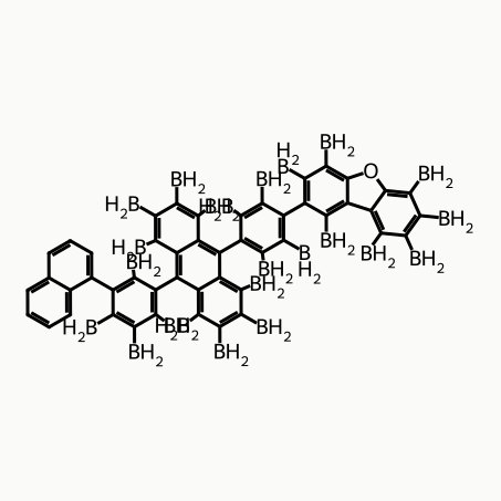 Bc1c(B)c(-c2cccc3ccccc23)c(B)c(-c2c3c(B)c(B)c(B)c(B)c3c(-c3c(B)c(B)c(-c4c(B)c(B)c5oc6c(B)c(B)c(B)c(B)c6c5c4B)c(B)c3B)c3c(B)c(B)c(B)c(B)c23)c1B